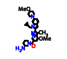 COc1cc(C(=O)N2CCC[C@@H](N)C2)cn2nc(-c3cc4ccc(N5CCC(OC)CC5)cc4n3CC3CC3)c(C)c12